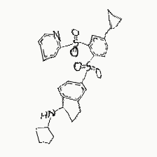 O=S(=O)(c1ccc2c(c1)CCC2NC1CCCC1)c1ccc(C2CC2)cc1S(=O)(=O)c1ccccn1